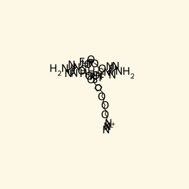 [N-]=[N+]=NCCOCCOCCOCc1ccc(CS[P@@]2(=O)OC[C@H]3O[C@@H](n4cnc5c(N)ncnc54)[C@H](F)[C@@H]3O[PH](=O)OCC3O[C@@H](n4cnc5c(N)ncnc54)[C@H](F)[C@@H]3O2)cc1